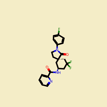 O=C(N[C@@H]1CC(F)(F)C[C@@]2(CCN(c3ccc(F)cc3)C2=O)C1)c1ccccn1